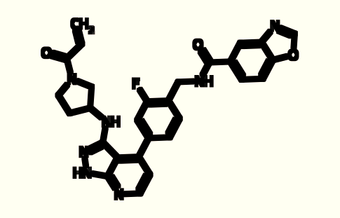 C=CC(=O)N1CCC(Nc2n[nH]c3nccc(-c4ccc(CNC(=O)c5ccc6ocnc6c5)c(F)c4)c23)C1